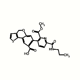 CCCNC(=O)c1ccc(-c2cc3c(cc2C(=O)O)-c2sccc2CO3)c(C(=O)OC)n1